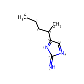 CCCC(C)C1=NC(=N)N=C1